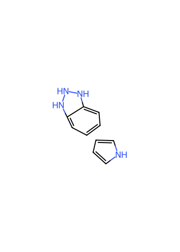 c1cc[nH]c1.c1ccc2c(c1)NNN2